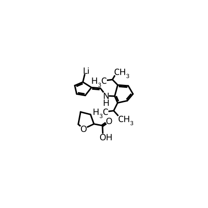 O=C(O)C1CCCO1.[Li][C]1=CC=CC1=CNc1c(C(C)C)cccc1C(C)C